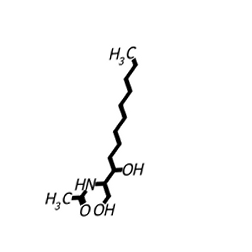 CCCCCCCCCC(O)C(CO)NC(C)=O